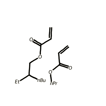 C=CC(=O)OCC(CC)CCCC.C=CC(=O)OCCC